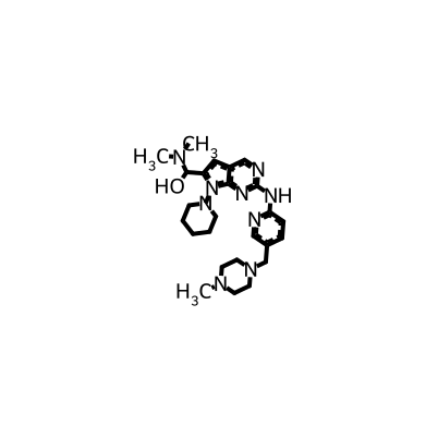 CN1CCN(Cc2ccc(Nc3ncc4cc(C(O)N(C)C)n(N5CCCCC5)c4n3)nc2)CC1